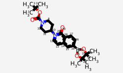 CC(C)(C)OC(=O)N1CCC(n2ccc3cc(B4OC(C)(C)C(C)(C)O4)ccc3c2=O)CC1